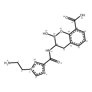 NCCn1cnc(C(=O)NC2Cc3cccc(C(=O)O)c3OB2O)n1